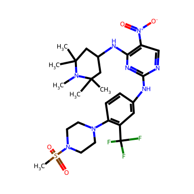 CN1C(C)(C)CC(Nc2nc(Nc3ccc(N4CCN(S(C)(=O)=O)CC4)c(C(F)(F)F)c3)ncc2[N+](=O)[O-])CC1(C)C